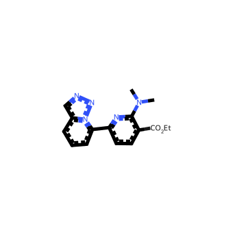 CCOC(=O)c1ccc(-c2cccc3cnnn23)nc1N(C)C